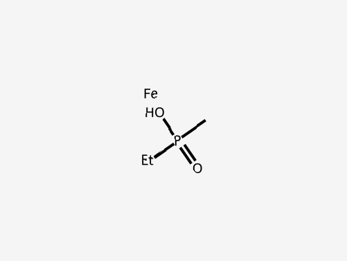 CCP(C)(=O)O.[Fe]